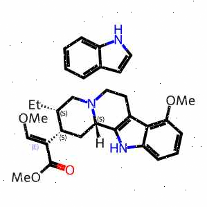 CC[C@@H]1CN2CCc3c([nH]c4cccc(OC)c34)[C@@H]2C[C@@H]1/C(=C\OC)C(=O)OC.c1ccc2[nH]ccc2c1